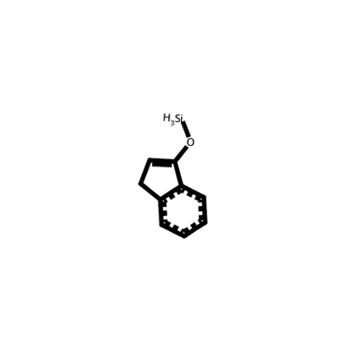 [SiH3]OC1=CCc2ccccc21